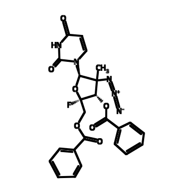 CC1(N=[N+]=[N-])[C@H](n2ccc(=O)[nH]c2=O)O[C@](F)(COC(=O)c2ccccc2)[C@H]1OC(=O)c1ccccc1